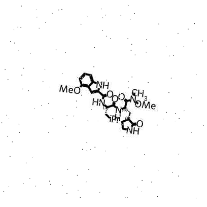 COc1cccc2[nH]c(C(=O)N[C@@H](CC(C)C)C(=O)N[C@@H](C[C@@H]3CCNC3=O)C(=O)N(C)OC)cc12